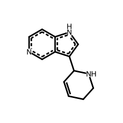 C1=CC(c2c[nH]c3ccncc23)NCC1